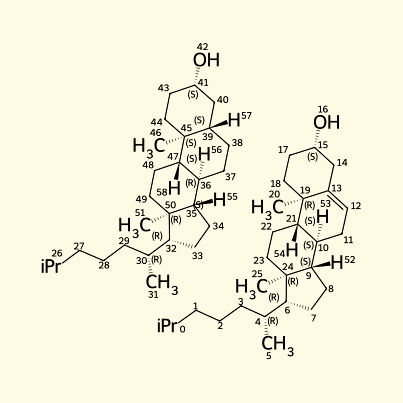 CC(C)CCC[C@@H](C)[C@H]1CC[C@H]2[C@@H]3CC=C4C[C@@H](O)CC[C@]4(C)[C@H]3CC[C@]12C.CC(C)CCC[C@@H](C)[C@H]1CC[C@H]2[C@@H]3CC[C@H]4C[C@@H](O)CC[C@]4(C)[C@H]3CC[C@]12C